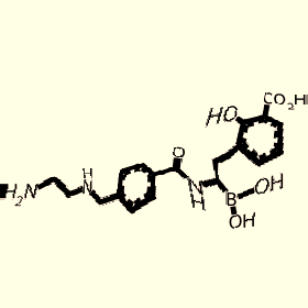 NCCNCc1ccc(C(=O)N[C@@H](Cc2cccc(C(=O)O)c2O)B(O)O)cc1